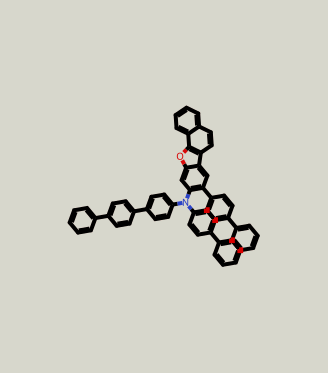 c1ccc(-c2ccc(-c3ccc(N(c4ccc(-c5ccccc5)cc4)c4cc5oc6c7ccccc7ccc6c5cc4-c4ccc(-c5ccccc5)cc4)cc3)cc2)cc1